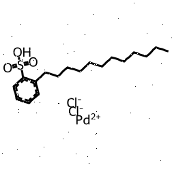 CCCCCCCCCCCCc1ccccc1S(=O)(=O)O.[Cl-].[Cl-].[Pd+2]